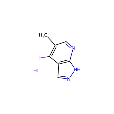 Cc1cnc2[nH]ncc2c1I.I